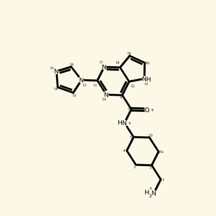 NCC1CCC(NC(=O)c2nc(-n3ccnc3)nc3cc[nH]c23)CC1